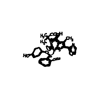 COc1ccccc1[C@@H](Cn1c(=O)n(C(C)(C)C(=O)O)c(=O)c2c(C)c(-c3ncco3)sc21)OC1CCC(O)CC1